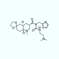 CN(C)CCNC(=O)N(Cc1nccs1)C(=O)[C@@H]1C[C@@H]2CC3(CC[C@H]2N(C)C1)OCCO3